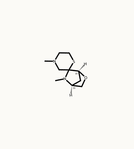 CN1CCSC2(C1)[C@@H]1C[C@@H](CO1)N2C